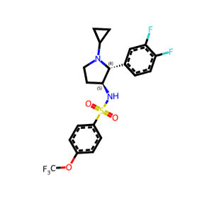 O=S(=O)(N[C@H]1CCN(C2CC2)[C@@H]1c1ccc(F)c(F)c1)c1ccc(OC(F)(F)F)cc1